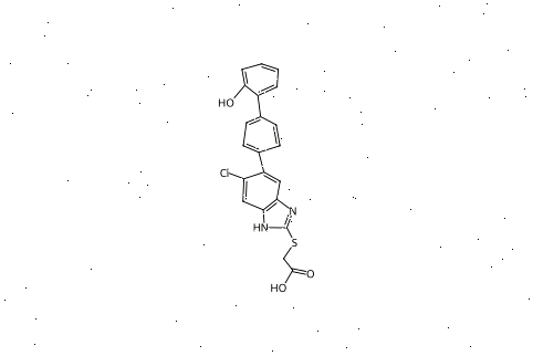 O=C(O)CSc1nc2cc(-c3ccc(-c4ccccc4O)cc3)c(Cl)cc2[nH]1